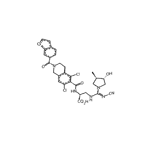 C[C@@H]1CN(/C(=N\C#N)NC[C@H](NC(=O)c2c(Cl)cc3c(c2Cl)CCN(C(=O)c2ccc4ccoc4c2)C3)C(=O)O)C[C@H]1O